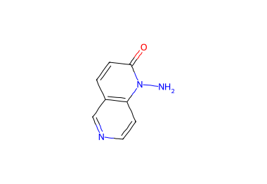 Nn1c(=O)ccc2cnccc21